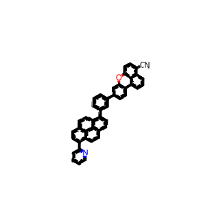 N#Cc1ccc2c3c(cccc13)-c1ccc(-c3cccc(-c4ccc5ccc6c(-c7ccccn7)ccc7ccc4c5c76)c3)cc1O2